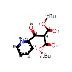 CC(C)(C)OC(=O)C(C(=O)OC(C)(C)C)C(=O)c1ccccn1